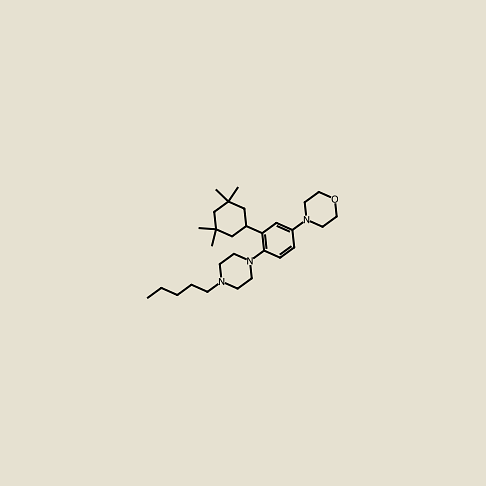 CCCCCN1CCN(c2ccc(N3CCOCC3)cc2C2CC(C)(C)CC(C)(C)C2)CC1